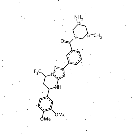 COc1ccc(C2CC(C(F)(F)F)n3nc(-c4cccc(C(=O)N5C[C@@H](C)C[C@@H](N)C5)c4)cc3N2)cc1OC